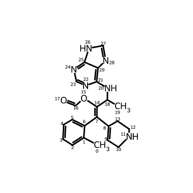 Cc1ccccc1/C(C1=CCNCC1)=C(\OC=O)C(C)Nc1ncnc2[nH]cnc12